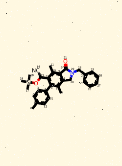 Cc1ccc(-c2c(C)c3c(c(C)c2C(C#N)O[Si](C)(C)C)C(=O)N(Cc2ccccc2)C3)cc1